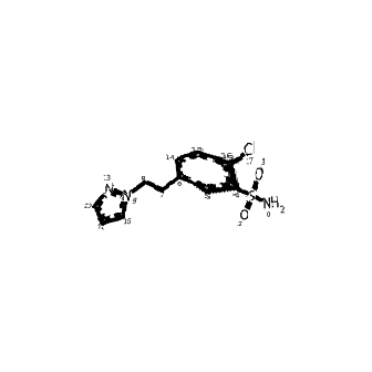 NS(=O)(=O)c1cc(CCn2cccn2)ccc1Cl